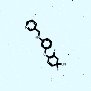 N#CC1(F)C=CC(Oc2cccc(NCc3cccnc3)c2)=C(F)C1